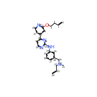 C=CCCOc1cc(-c2ccnc(Nc3cccc(CN(C)CC=C)c3)n2)ccn1